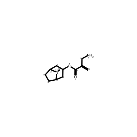 C=C(CN)C(=O)OC1CC2CCC(C1)N2C